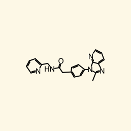 Cc1nc2cccnc2n1-c1ccc(CC(=O)NCc2ccccn2)cc1